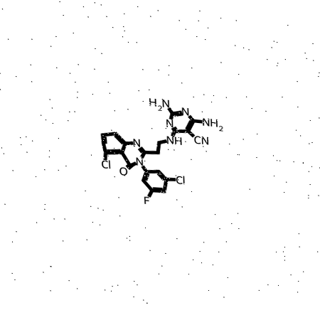 N#Cc1c(N)nc(N)nc1NCCc1nc2cccc(Cl)c2c(=O)n1-c1cc(F)cc(Cl)c1